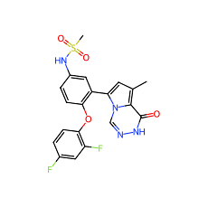 Cc1cc(-c2cc(NS(C)(=O)=O)ccc2Oc2ccc(F)cc2F)n2cn[nH]c(=O)c12